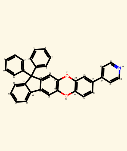 c1ccc(C2(c3ccccc3)c3ccccc3-c3cc4c(cc32)Oc2cc(-c3ccncc3)ccc2O4)cc1